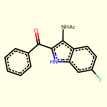 CC(=O)Nc1c(C(=O)c2ccccc2)[nH]c2cc(F)ccc12